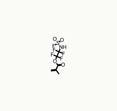 C=C(C)C(=O)OC(F)(F)C(F)(F)NS(=O)(=O)F